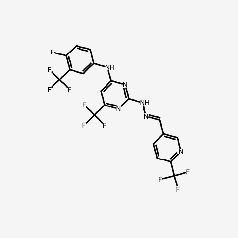 Fc1ccc(Nc2cc(C(F)(F)F)nc(N/N=C/c3ccc(C(F)(F)F)nc3)n2)cc1C(F)(F)F